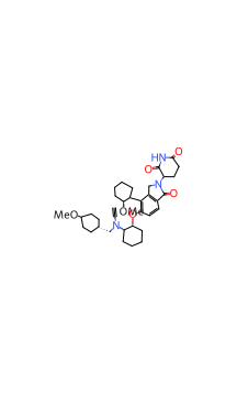 C#CN(C[C@H]1CC[C@H](OC)CC1)[C@@H]1CCCC[C@@H]1Oc1ccc2c(c1C1CCCC[C@@H]1OC)CN(C1CCC(=O)NC1=O)C2=O